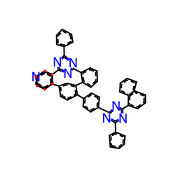 c1ccc(-c2nc(-c3ccccc3)nc(-c3ccccc3-c3cc(-c4ccncc4)ccc3-c3ccc(-c4nc(-c5ccccc5)nc(-c5cccc6ccccc56)n4)cc3)n2)cc1